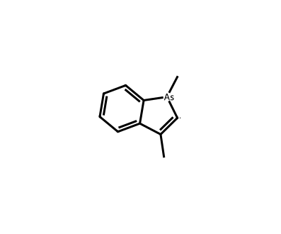 CC1=[C][As](C)c2ccccc21